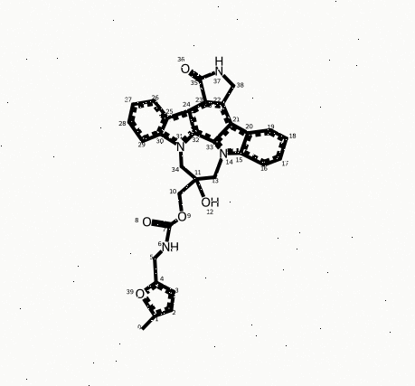 Cc1ccc(CNC(=O)OCC2(O)Cn3c4ccccc4c4c5c(c6c7ccccc7n(c6c43)C2)C(=O)NC5)o1